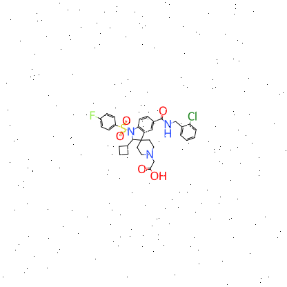 O=C(O)CN1CCC2(CC1)c1cc(C(=O)NCc3ccccc3Cl)ccc1N(S(=O)(=O)c1ccc(F)cc1)C2C1CCC1